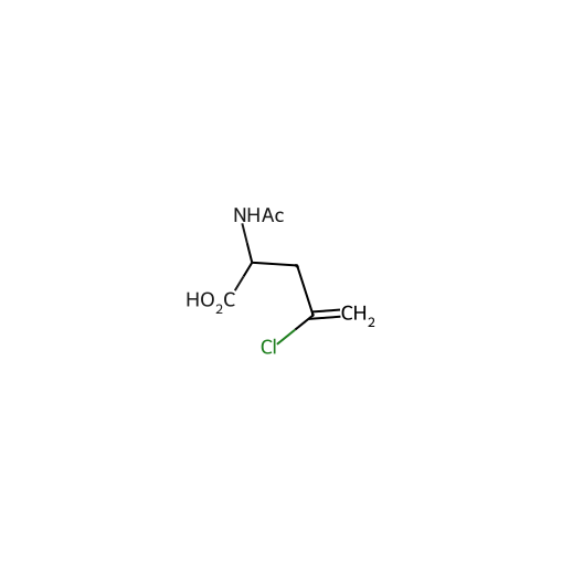 C=C(Cl)CC(NC(C)=O)C(=O)O